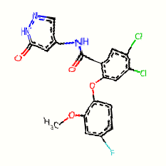 COc1cc(F)ccc1Oc1cc(Cl)c(Cl)cc1C(=O)Nc1cn[nH]c(=O)c1